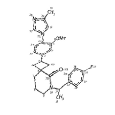 COc1cc(C2CC3(CCCN(C(C)c4ccc(F)cc4)C3=O)C2)ccc1-n1cnc(C)c1